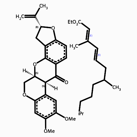 C=C(C)[C@H]1Cc2c(ccc3c2O[C@@H]2COc4cc(OC)c(OC)cc4[C@@H]2C3=O)O1.CCOC(=O)/C=C(C)/C=C/CC(C)CCCC(C)C